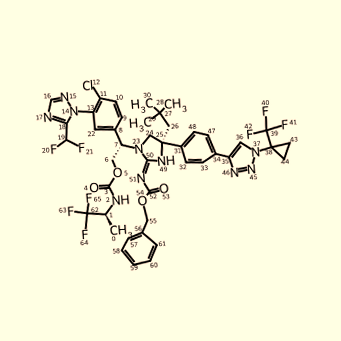 C[C@H](NC(=O)OC[C@H](c1ccc(Cl)c(-n2ncnc2C(F)F)c1)N1C[C@@](CC(C)(C)C)(c2ccc(-c3cn(C4(C(F)(F)F)CC4)nn3)cc2)N/C1=N\C(=O)OCc1ccccc1)C(F)(F)F